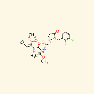 COC(=O)[C@H](CC1CC1)NC(=O)[C@@H](NC(=O)C[C@@H]1CCC(=O)N1Cc1cccc(F)c1F)[C@@H](C)OC